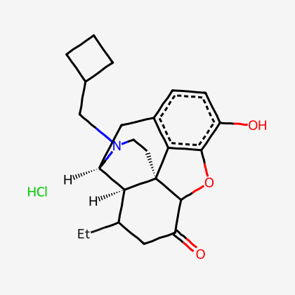 CCC1CC(=O)C2Oc3c(O)ccc4c3[C@@]23CCN(CC2CCC2)[C@H](C4)[C@H]13.Cl